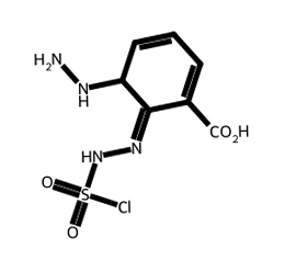 NNC1C=CC=C(C(=O)O)C1=NNS(=O)(=O)Cl